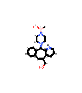 CB(O)N1CCN(C2c3ccccc3C=C(CO)c3cccnc32)CC1